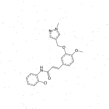 COc1ccc(/C=C/C(=O)Nc2ccccc2Cl)cc1OCc1cnn(C)c1